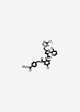 COC(=O)c1ccc(CNC(=O)c2cc(Cl)cc(C)c2NC(=O)c2cc(Cn3nnc(C(F)(F)F)n3)nn2-c2ncccc2Cl)cc1